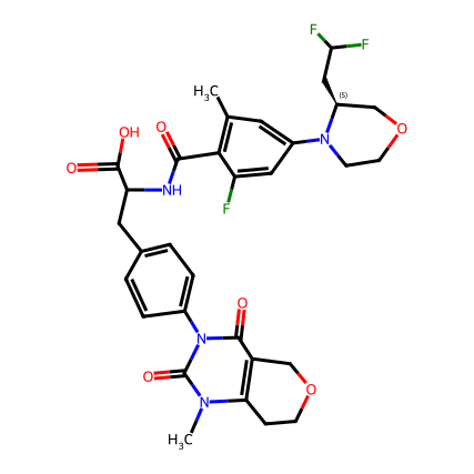 Cc1cc(N2CCOC[C@@H]2CC(F)F)cc(F)c1C(=O)NC(Cc1ccc(-n2c(=O)c3c(n(C)c2=O)CCOC3)cc1)C(=O)O